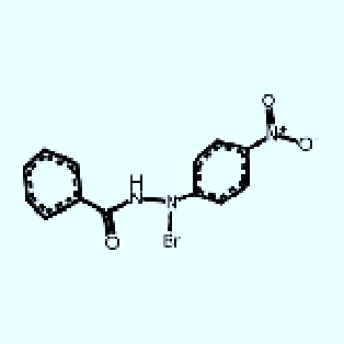 O=C(NN(Br)c1ccc([N+](=O)[O-])cc1)c1ccccc1